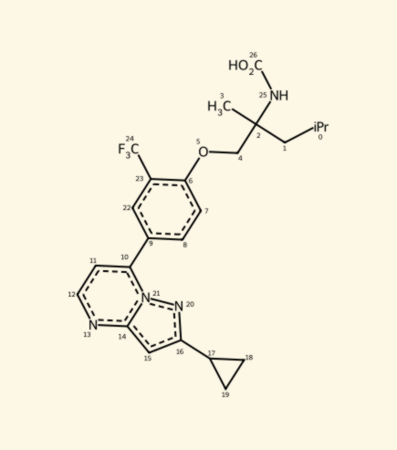 CC(C)CC(C)(COc1ccc(-c2ccnc3cc(C4CC4)nn23)cc1C(F)(F)F)NC(=O)O